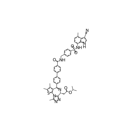 Cc1sc2c(c1C)C(c1ccc(-c3ccc(C(=O)NCc4ccc(S(=O)(=O)Nc5ccc(C)c6c(C#N)c[nH]c56)cc4)cc3)cc1)=N[C@@H](CC(=O)OC(C)C)c1nnc(C)n1-2